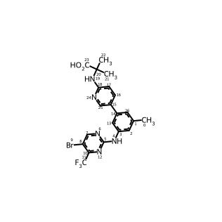 Cc1cc(Nc2ncc(Br)c(C(F)(F)F)n2)cc(-c2ccc(NC(C)(C)C(=O)O)nc2)c1